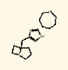 C1CCC[N]CC1.c1nc(CC23CCC[N+]2CC3)c[nH]1